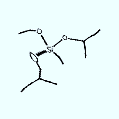 CO[Si](C)(OC(C)C)OC(C)C